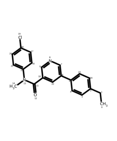 CCc1ccc(-c2cncc(C(=O)N(C)c3ccc(Cl)cc3)c2)cc1